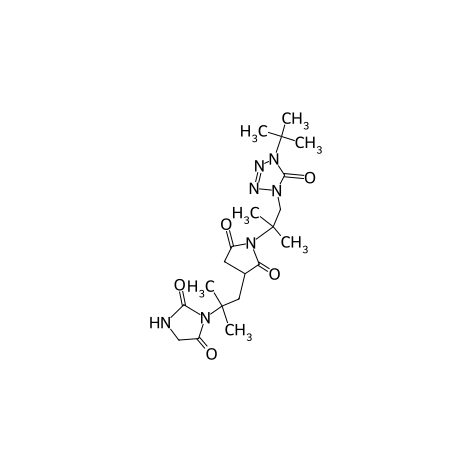 CC(C)(CC1CC(=O)N(C(C)(C)Cn2nnn(C(C)(C)C)c2=O)C1=O)N1C(=O)CNC1=O